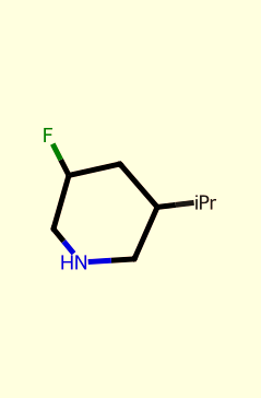 CC(C)C1CNCC(F)C1